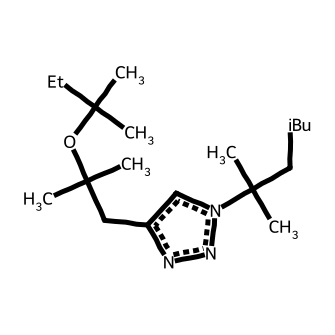 CCC(C)CC(C)(C)n1cc(CC(C)(C)OC(C)(C)CC)nn1